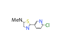 CNC1CN=C(c2ccc(Cl)nc2)S1